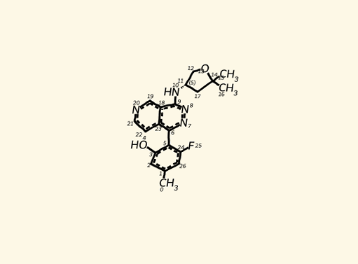 Cc1cc(O)c(-c2nnc(N[C@@H]3COC(C)(C)C3)c3cnccc23)c(F)c1